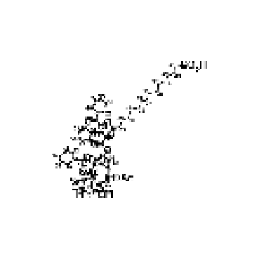 CC(=O)O[C@H]1C(=O)[C@@]2(C)[C@H]([C@H](OC(=O)c3ccccc3)[C@]3(O)C[C@H](OC(=O)[C@H](OC(=O)CCCCCCCCCCCCCCC(=O)O)[C@@H](NC(=O)c4ccccc4)c4ccccc4)C(C)=C1C3(C)C)[C@]1(OC(C)=O)CO[C@@H]1C[C@@H]2O